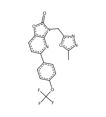 Cc1nnc(Cn2c(=O)oc3ccc(-c4ccc(OC(F)(F)F)cc4)nc32)o1